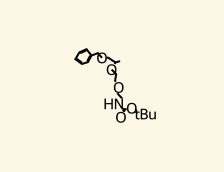 CC(COCc1ccccc1)OCCOCCNC(=O)OC(C)(C)C